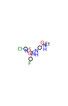 CCNC(=O)c1ccc(NCc2nc(-c3ccc(F)cc3)oc2Sc2ccc(Cl)cn2)cc1